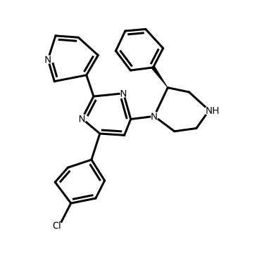 Clc1ccc(-c2cc(N3CCNC[C@@H]3c3ccccc3)nc(-c3cccnc3)n2)cc1